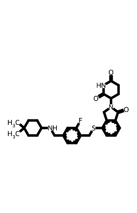 CC1(C)CCC(NCc2ccc(CSc3cccc4c3CN(C3CCC(=O)NC3=O)C4=O)c(F)c2)CC1